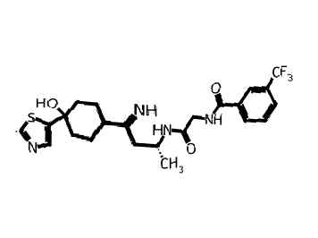 C[C@H](CC(=N)C1CCC(O)(c2cn[c]s2)CC1)NC(=O)CNC(=O)c1cccc(C(F)(F)F)c1